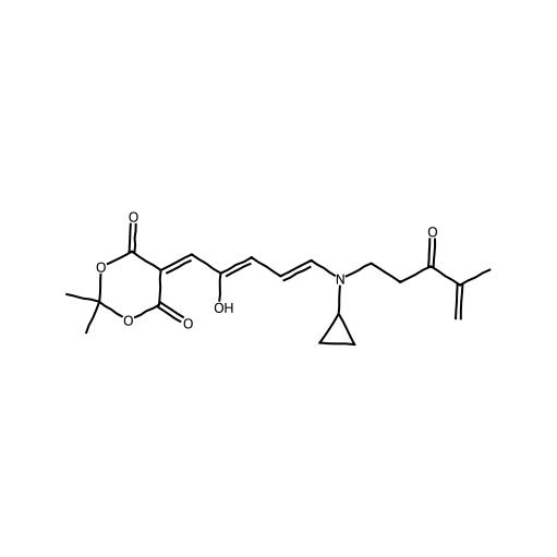 C=C(C)C(=O)CCN(/C=C/C=C(\O)C=C1C(=O)OC(C)(C)OC1=O)C1CC1